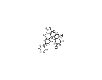 NC(=O)N1CCc2cc(N3CCCCC3)ccc2C1c1c[nH]c2ccc(Cl)cc12